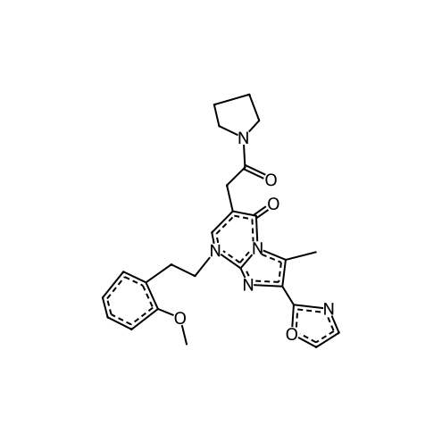 COc1ccccc1CCn1cc(CC(=O)N2CCCC2)c(=O)n2c(C)c(-c3ncco3)nc12